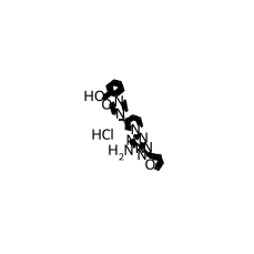 Cl.Nc1nc(N2CCC[C@@H](CN3CCN(c4ccccc4C(=O)O)CC3)C2)nc2nc(-c3ccco3)nn12